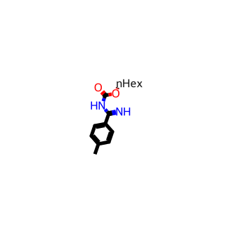 CCCCCCOC(=O)NC(=N)c1ccc(C)cc1